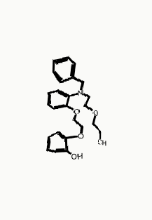 OCCOCCN(Cc1ccccc1)c1ccccc1OCCOc1ccccc1O